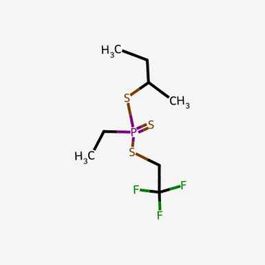 CCC(C)SP(=S)(CC)SCC(F)(F)F